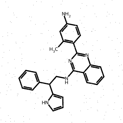 Cc1cc(N)ccc1-c1nc(NCC(c2ccccc2)c2ccc[nH]2)c2ccccc2n1